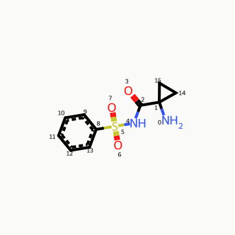 NC1(C(=O)NS(=O)(=O)c2ccccc2)CC1